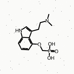 CN(C)CCc1c[nH]c2cccc(OCP(=O)(O)O)c12